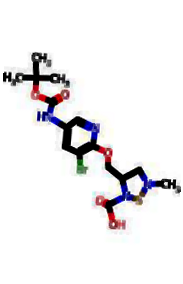 CN1CC(COc2ncc(NC(=O)OC(C)(C)C)cc2Br)N(C(=O)O)S1